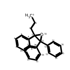 CCCC1(c2ccccc2)OC1(c1ccccc1)c1ccccc1